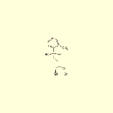 CCOC(CCC(C#N)(c1ccccc1C)C(C)C)OCC